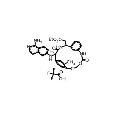 CCOC(=O)CC1NC(=O)[C@H](Nc2ccc3c(N)nccc3c2)c2ccc(c(C)c2)CCOC(=O)Nc2cccc1c2.O=C(O)C(F)(F)F